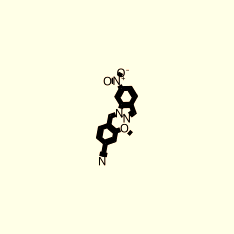 COc1cc(C#N)ccc1Cn1ncc2ccc([N+](=O)[O-])cc21